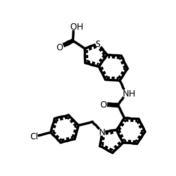 O=C(O)c1cc2cc(NC(=O)c3cccc4ccn(Cc5ccc(Cl)cc5)c34)ccc2s1